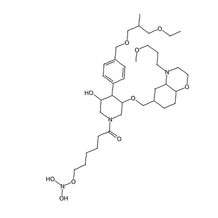 CCOCC(C)COCc1ccc(C2C(O)CN(C(=O)CCCCCON(O)O)CC2OCC2CCC3OCCN(CCCOC)C3C2)cc1